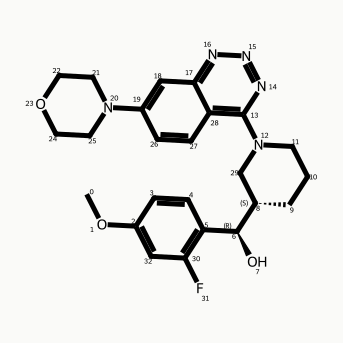 COc1ccc([C@H](O)[C@H]2CCCN(c3nnnc4cc(N5CCOCC5)ccc34)C2)c(F)c1